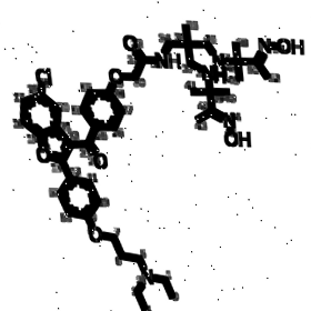 CCN(CC)CCCOc1ccc(-c2oc3ccc(Cl)cc3c2C(=O)c2ccc(OCC(=O)NCC(C)(CNC(C)(C)/C(C)=N/O)CNC(C)(C)/C(C)=N/O)cc2)cc1